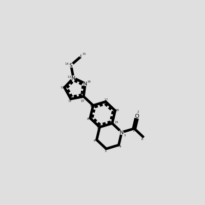 CC(=O)N1CCCc2cc(-c3ccn(SI)n3)ccc21